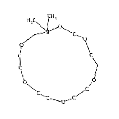 C[Si]1(C)COCCOCCOCCOCCOCO1